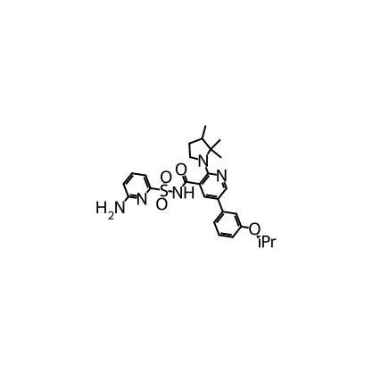 CC(C)Oc1cccc(-c2cnc(N3CCC(C)C3(C)C)c(C(=O)NS(=O)(=O)c3cccc(N)n3)c2)c1